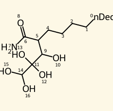 CCCCCCCCCCCCCCC(C(N)=O)C(O)C(O)(O)C(O)O